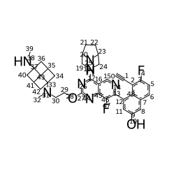 C#Cc1c(F)ccc2cc(O)cc(-c3ncc4c(N5CC6CCC(C5)N6)nc(OCCN(C)C56CC7CC8(NC)CC(C5)C786)nc4c3F)c12